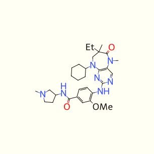 CCC1(C)CN(C2CCCCC2)c2nc(Nc3ccc(C(=O)NC4CCN(C)C4)cc3OC)ncc2N(C)C1=O